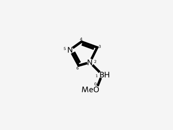 COBn1ccnc1